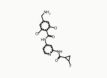 NCc1cc(Cl)c(C(=O)Nc2ccnc(NC(=O)C3CC3F)c2)c(Cl)c1